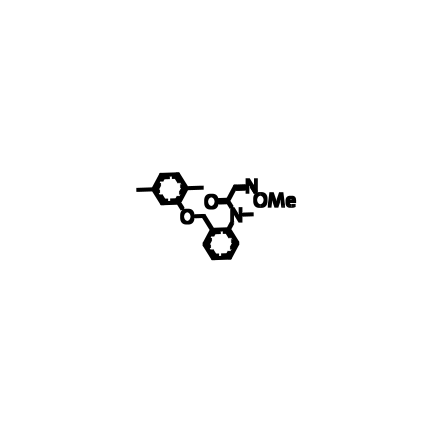 CO/N=C\C(=O)N(C)c1ccccc1COc1cc(C)ccc1C